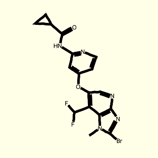 Cn1c(Br)nc2ncc(Oc3ccnc(NC(=O)C4CC4)c3)c(C(F)F)c21